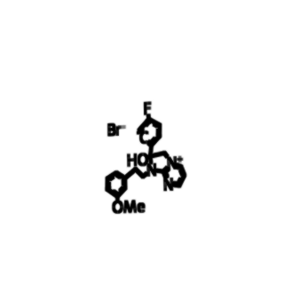 COc1cccc(CCN2c3nccc[n+]3CC2(O)c2ccc(F)cc2)c1.[Br-]